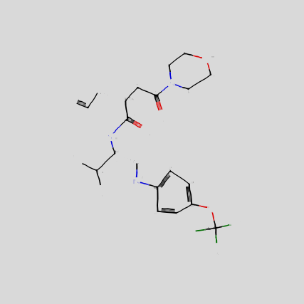 C=CC[C@H](CC(=O)N1CCOCC1)C(=O)N[C@H](CNc1ccc(OC(F)(F)F)cc1)C(C)C